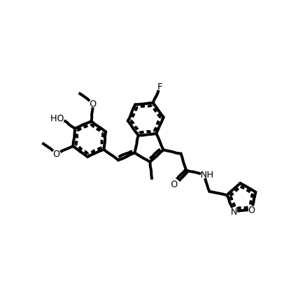 COc1cc(/C=C2/C(C)=C(CC(=O)NCc3ccon3)c3cc(F)ccc32)cc(OC)c1O